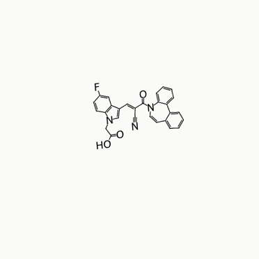 N#C/C(=C\c1cn(CC(=O)O)c2ccc(F)cc12)C(=O)N1C=Cc2ccccc2-c2ccccc21